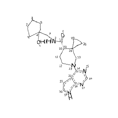 O=C(NCC1(O)CCCC1)[C@H]1CCN(c2ncnc3[nH]ccc23)CC12CC2